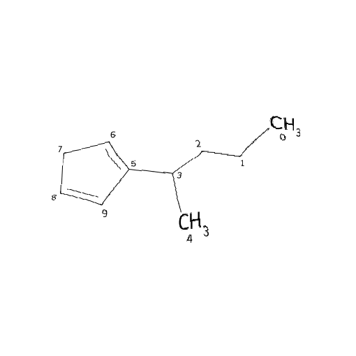 CCCC(C)C1=CCC=C1